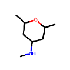 CNC1CC(C)OC(C)C1